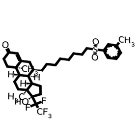 Cc1cccc(S(=O)(=O)CCCCCCCC[C@@H]2CC3=CC(=O)CC[C@]3(C)[C@H]3CC[C@@]4(C)[C@@H](CC[C@@]4(O)C(F)(F)C(F)(F)F)[C@H]23)c1